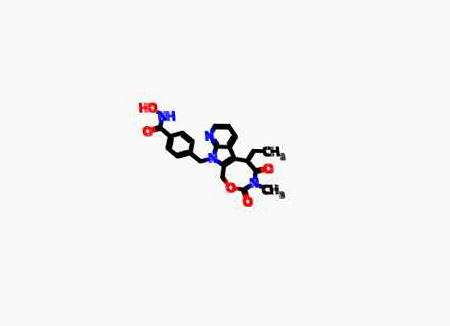 CCC1C(=O)N(C)C(=O)OCc2c1c1cccnc1n2Cc1ccc(C(=O)NO)cc1